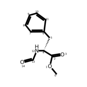 COC(=O)[C@@H](Cc1ccccc1)NC=O